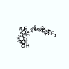 CN(CCCCCCC1=C(c2ccc(F)c(F)c2)CCCc2cc(O)ccc21)CCC[S+]([O-])CCC(F)(F)C(F)(F)F